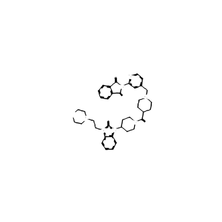 O=C(C1CCN(Cc2ccnc(N3C(=O)c4ccccc4C3=O)c2)CC1)N1CCC(n2c(=O)n(CCN3CCOCC3)c3ccccc32)CC1